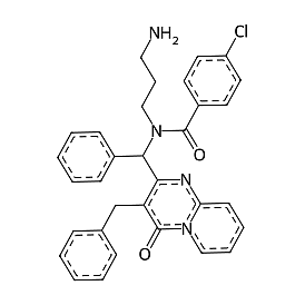 NCCCN(C(=O)c1ccc(Cl)cc1)C(c1ccccc1)c1nc2ccccn2c(=O)c1Cc1ccccc1